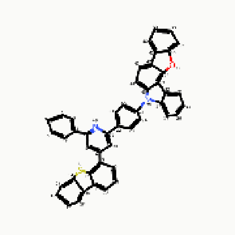 c1ccc(-c2cc(-c3cccc4c3sc3ccccc34)cc(-c3ccc(-n4c5ccccc5c5c6oc7ccccc7c6ccc54)cc3)n2)cc1